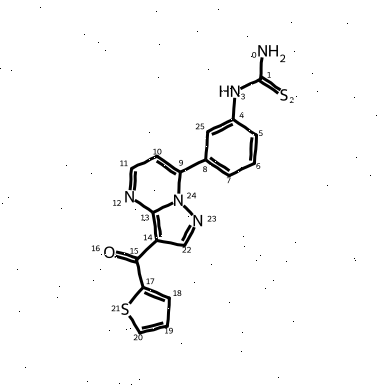 NC(=S)Nc1cccc(-c2ccnc3c(C(=O)c4cccs4)cnn23)c1